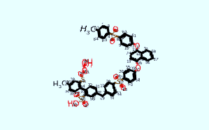 Cc1ccc(S(=O)(=O)c2ccc(Oc3ccc(Oc4ccc(S(=O)(=O)c5ccc(Cc6ccc(-c7ccc(C)cc7SOOO)c(S(=O)(=O)O)c6)cc5)cc4)c4ccccc34)cc2)cc1